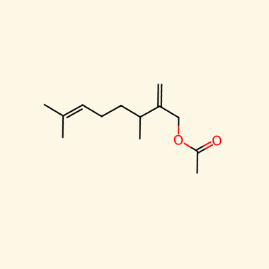 C=C(COC(C)=O)C(C)CCC=C(C)C